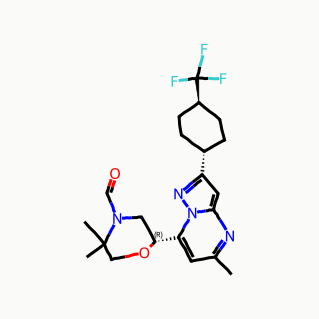 Cc1cc([C@H]2CN(C=O)C(C)(C)CO2)n2nc([C@H]3CC[C@H](C(F)(F)F)CC3)cc2n1